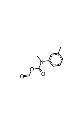 Cc1cccc(N(C)C(=O)OC=O)c1